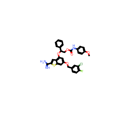 COc1ccc(NC(=O)OCC(Oc2cc(OCc3ccc(F)c(Cl)c3)cc3sc(C(=N)N)cc23)c2ccccc2)cc1